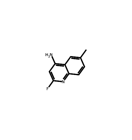 Cc1ccc2nc(F)cc(N)c2c1